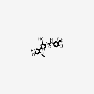 CCOc1cc(=O)[nH]cc1-c1ncc(NC(=O)Nc2ccc(Cl)c(C(F)(F)F)c2)c(C)n1.Cl